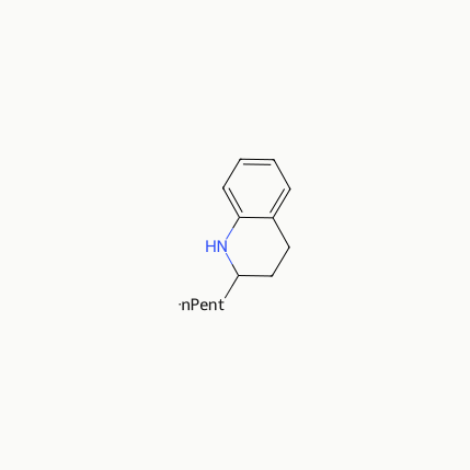 CCCC[CH]C1CCc2ccccc2N1